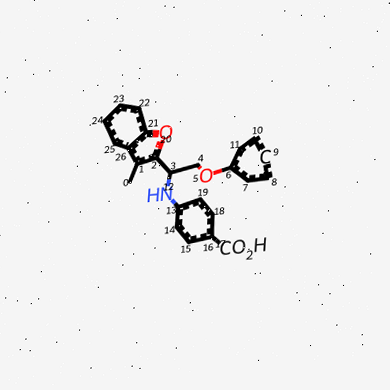 Cc1c(C(COc2ccccc2)Nc2ccc(C(=O)O)cc2)oc2ccccc12